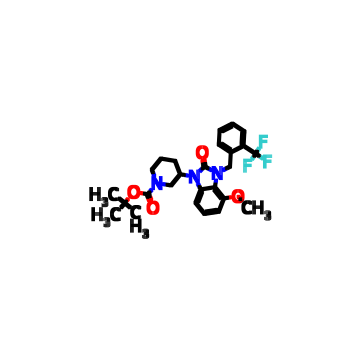 COc1cccc2c1n(Cc1ccccc1C(F)(F)F)c(=O)n2C1CCCN(C(=O)OC(C)(C)C)C1